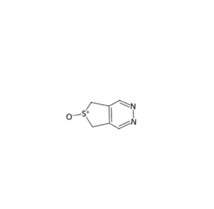 [O-][S+]1Cc2cnncc2C1